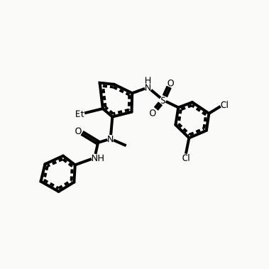 CCc1ccc(NS(=O)(=O)c2cc(Cl)cc(Cl)c2)cc1N(C)C(=O)Nc1ccccc1